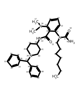 CCCCCCCN(C(N)=O)c1cccc(N(C)C)c1C(=O)NC1CCN(C(c2ccccc2)c2ccccc2)CC1